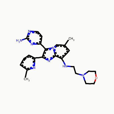 Cc1cc(NCCN2CCOCC2)c2nc(-c3cccc(C)n3)c(-c3ccnc(N)n3)n2c1